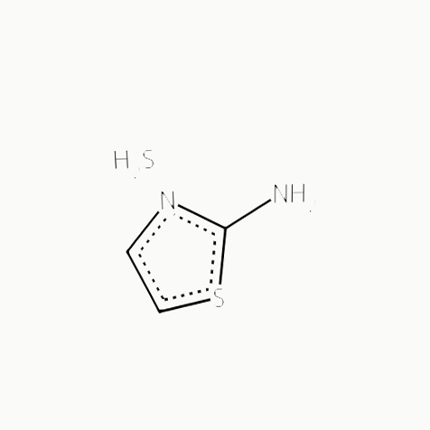 Nc1nccs1.S